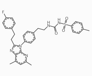 Cc1ccc(S(=O)(=O)NC(=O)NCCc2ccc(-n3c(CCc4ccc(F)cc4)nc4c(C)cc(C)nc43)cc2)cc1